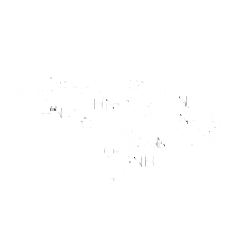 CC(=O)Nc1cc(C(=O)NCc2c(C)cc(C)[nH]c2=O)c2cnn(C(C)C)c2n1